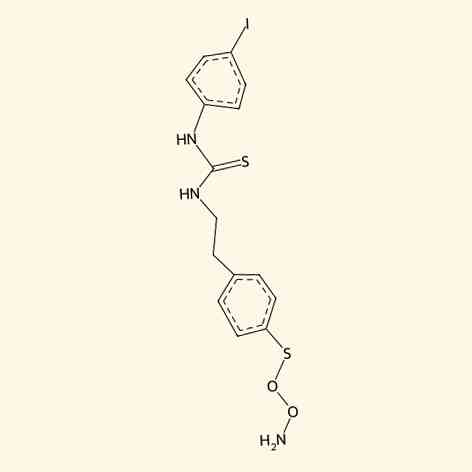 NOOSc1ccc(CCNC(=S)Nc2ccc(I)cc2)cc1